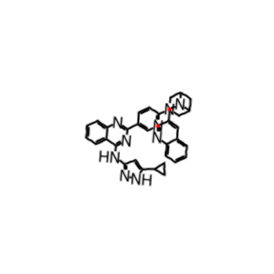 c1ccc2ncc(CN3C4CC3CN(c3ccc(-c5nc(Nc6cc(C7CC7)[nH]n6)c6ccccc6n5)cn3)C4)cc2c1